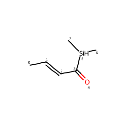 C/C=C/C(=O)[SiH](C)C